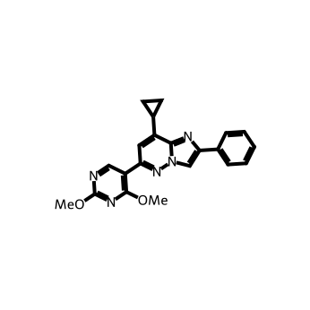 COc1ncc(-c2cc(C3CC3)c3nc(-c4ccccc4)cn3n2)c(OC)n1